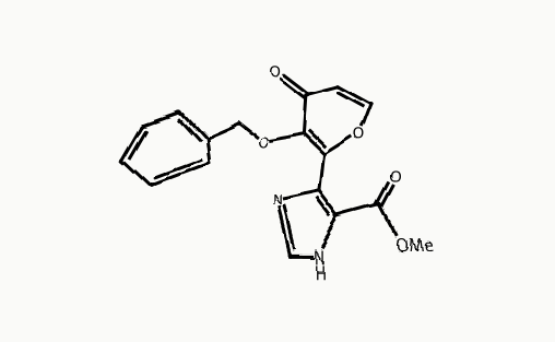 COC(=O)c1[nH]cnc1-c1occc(=O)c1OCc1ccccc1